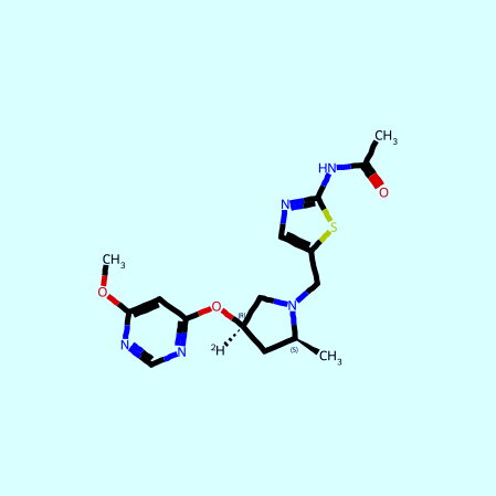 [2H][C@@]1(Oc2cc(OC)ncn2)C[C@H](C)N(Cc2cnc(NC(C)=O)s2)C1